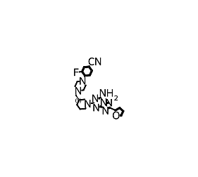 N#Cc1ccc(N2CCN(C[C@@H]3CCCN(c4nc(N)n5nc(-c6ccco6)nc5n4)C3)CC2)c(F)c1